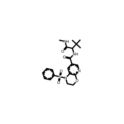 CNC(=O)C(NC(=O)c1cnc2c(c1)N(S(=O)(=O)c1ccccc1)CCO2)C(C)(C)C